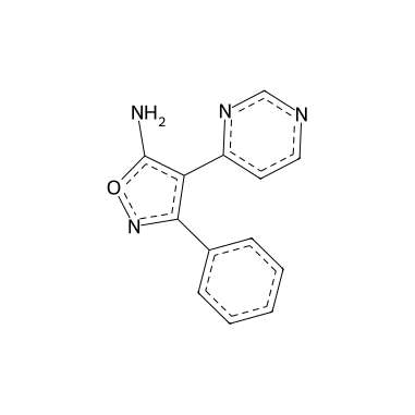 Nc1onc(-c2ccccc2)c1-c1ccncn1